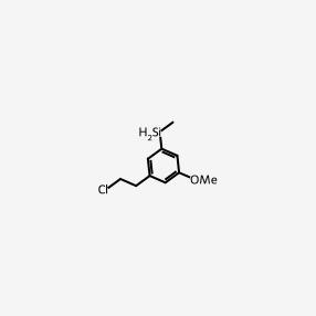 COc1cc(CCCl)cc([SiH2]C)c1